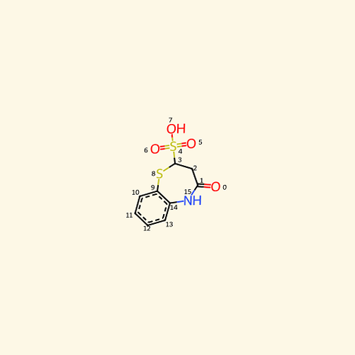 O=C1CC(S(=O)(=O)O)Sc2ccccc2N1